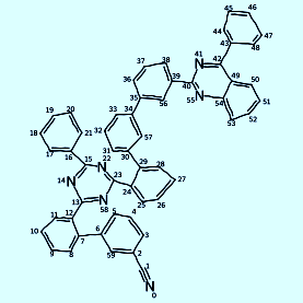 N#Cc1cccc(-c2ccccc2-c2nc(-c3ccccc3)nc(-c3ccccc3-c3cccc(-c4cccc(-c5nc(-c6ccccc6)c6ccccc6n5)c4)c3)n2)c1